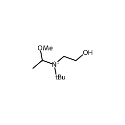 CO[C](C)[N+](CCO)C(C)(C)C